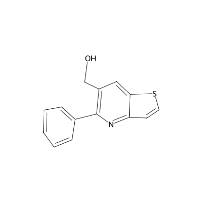 OCc1cc2sccc2nc1-c1ccccc1